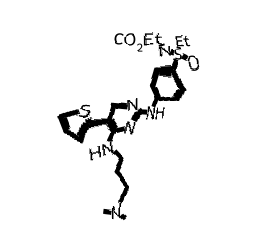 CCOC(=O)N=S(=O)(CC)c1ccc(Nc2ncc(-c3cccs3)c(NCCCN(C)C)n2)cc1